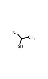 C[CH]([Na])S